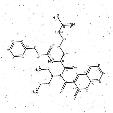 CCCC(CC)N(C(=O)c1cc2ccccc2oc1=O)C(=O)[C@H](CCCNC(=N)N)NC(=O)OCc1ccccc1